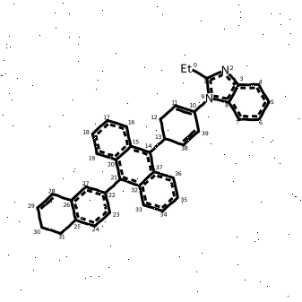 CCc1nc2ccccc2n1C1=CCC(c2c3ccccc3c(-c3ccc4c(c3)C=CCC4)c3ccccc23)C=C1